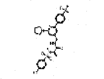 C=C(C(=O)NCc1cc(-c2ccc(C(F)(F)F)cc2)nc(N2CCCC2)c1)N(C)S(=O)(=O)c1ccc(Cl)cc1